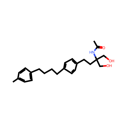 CC(=O)NC(CO)(CO)CCc1ccc(CCCCc2ccc(C)cc2)cc1